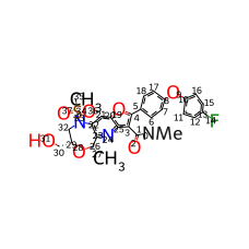 CNC(=O)c1c(-c2ccc(Oc3ccc(F)cc3)cc2)oc2cc3c(nc12)[C@H](C)O[C@H](CO)CN3S(C)(=O)=O